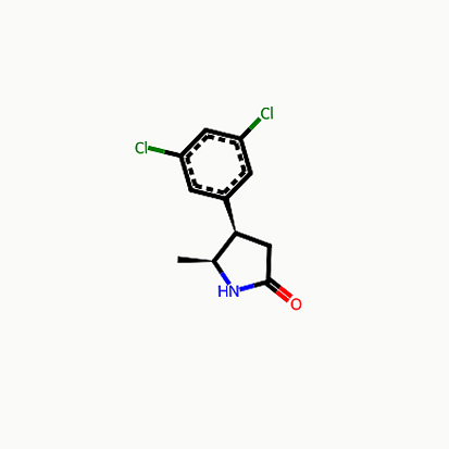 C[C@@H]1NC(=O)C[C@@H]1c1cc(Cl)cc(Cl)c1